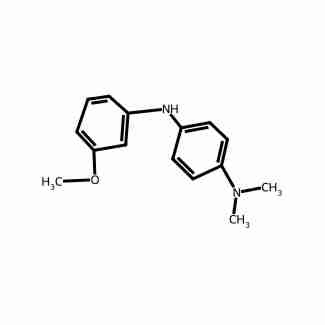 COc1cccc(Nc2ccc(N(C)C)cc2)c1